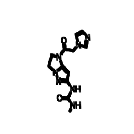 CNC(=O)Nc1cc2n(n1)CCN2C(=O)Cn1ccnc1